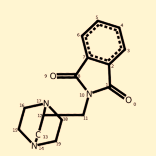 O=C1c2ccccc2C(=O)N1CC1CN2CCN1CC2